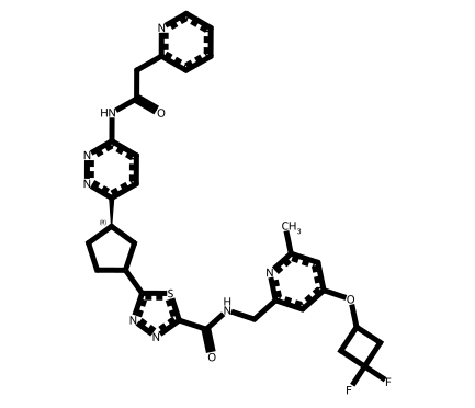 Cc1cc(OC2CC(F)(F)C2)cc(CNC(=O)c2nnc(C3CC[C@@H](c4ccc(NC(=O)Cc5ccccn5)nn4)C3)s2)n1